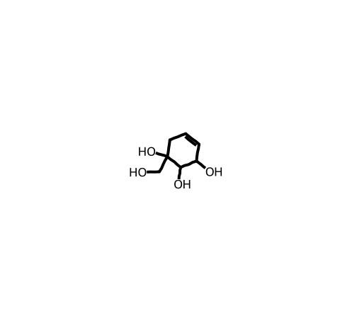 OCC1(O)CC=CC(O)C1O